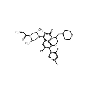 C=CC(=O)N1C[C@H](C)N(c2nc(=O)n3c4c(c(-c5ccc(F)cc5F)c(Cl)cc24)OCC3CN2CCOCC2)C[C@H]1C